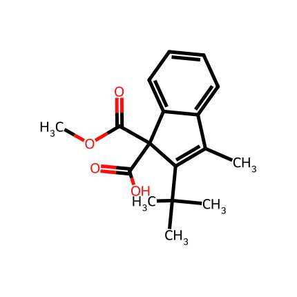 COC(=O)C1(C(=O)O)C(C(C)(C)C)=C(C)c2ccccc21